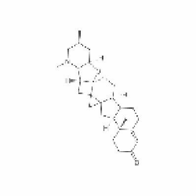 C[C@H]1C[C@H]2O[C@@]34CC[C@H]5C6CCC7=CC(=O)CC[C@]7(C)[C@H]6CC56CC63C[C@@H]4C2N(C)C1